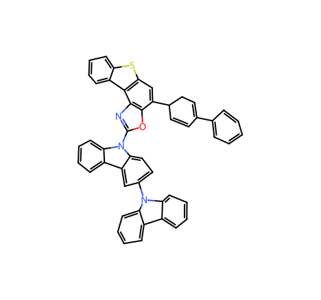 C1=CC(c2cc3sc4ccccc4c3c3nc(-n4c5ccccc5c5cc(-n6c7ccccc7c7ccccc76)ccc54)oc23)CC=C1c1ccccc1